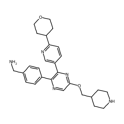 NCc1ccc(-c2ncc(OCC3CCNCC3)nc2-c2ccc(C3CCOCC3)nc2)cc1